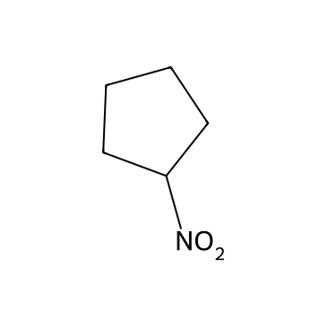 O=[N+]([O-])C1CCCC1